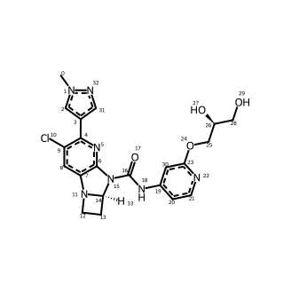 Cn1cc(-c2nc3c(cc2Cl)N2CC[C@@H]2N3C(=O)Nc2ccnc(OC[C@@H](O)CO)c2)cn1